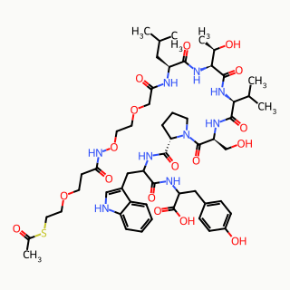 CC(=O)SCCOCCC(=O)NOCCOCC(=O)N[C@@H](CC(C)C)C(=O)N[C@H](C(=O)N[C@H](C(=O)N[C@@H](CO)C(=O)N1CCC[C@H]1C(=O)NC(Cc1c[nH]c2ccccc12)C(=O)NC(Cc1ccc(O)cc1)C(=O)O)C(C)C)[C@@H](C)O